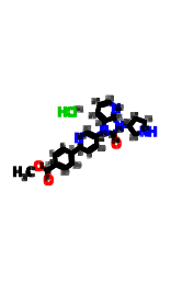 COC(=O)c1ccc(-c2ccc(-n3c(=O)n([C@H]4CCNC4)c4ncccc43)cn2)cc1.Cl